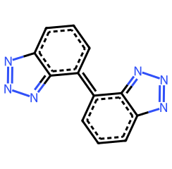 c1cc2c(c(=c3cccc4c3=NN=N4)c1)=NN=N2